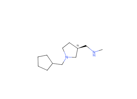 CNC[C@@H]1CCN(CC2CCCC2)C1